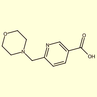 O=C(O)c1ccc(CN2CCOCC2)nc1